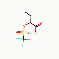 CC[C@@H](OS(=O)(=O)C(F)(F)F)C(=O)O